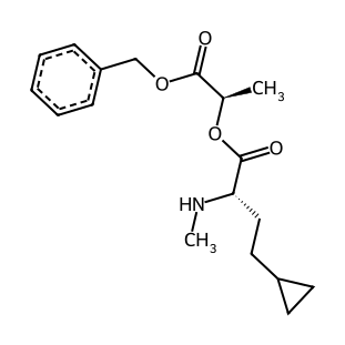 CN[C@@H](CCC1CC1)C(=O)O[C@H](C)C(=O)OCc1ccccc1